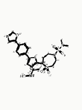 CN(C)S(=O)(=O)N1CC[C@](CC(=O)NO)(c2ccc(-c3ccc(-c4cnco4)cc3)s2)S(=O)(=O)CC1